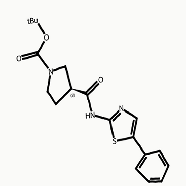 CC(C)(C)OC(=O)N1CC[C@H](C(=O)Nc2ncc(-c3ccccc3)s2)C1